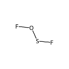 FOSF